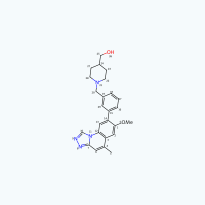 COc1cc2c(C)cc3nncn3c2cc1-c1cccc(CN2CCC(CO)CC2)c1